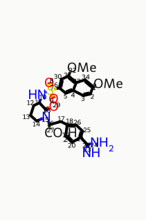 COc1ccc2cc(S(=O)(=O)NC3CCCN(C(Cc4ccc(C(=N)N)cc4)C(=O)O)C3=O)cc(OC)c2c1